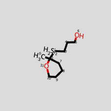 CC1([SiH2]CCCO)CCCCO1